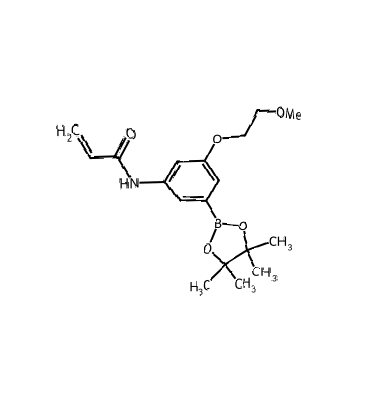 C=CC(=O)Nc1cc(OCCOC)cc(B2OC(C)(C)C(C)(C)O2)c1